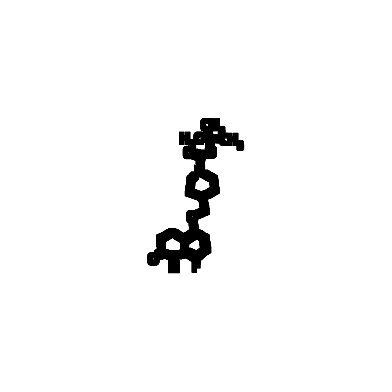 CC(C)(C)OC(=O)N1CCC(COc2ccc(F)c3c2CCC(=O)N3)CC1